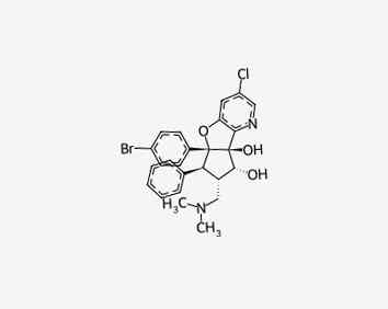 CN(C)C[C@H]1[C@@H](O)[C@@]2(O)c3ncc(Cl)cc3O[C@@]2(c2ccc(Br)cc2)[C@@H]1c1ccccc1